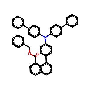 O=C(OCc1ccccc1)c1cccc2cccc(-c3ccc(N(c4ccc(-c5ccccc5)cc4)c4ccc(-c5ccccc5)cc4)cc3)c12